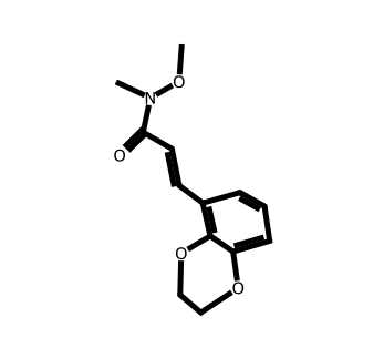 CON(C)C(=O)C=Cc1cccc2c1OCCO2